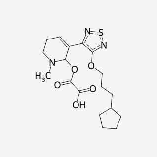 CN1CCC=C(c2nsnc2OCCCC2CCCC2)C1OC(=O)C(=O)O